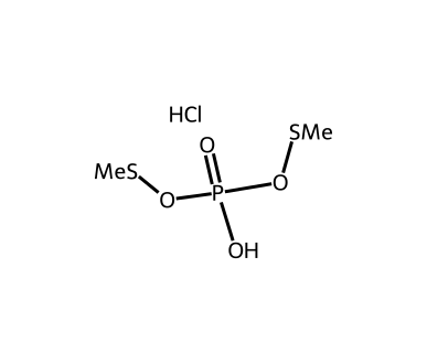 CSOP(=O)(O)OSC.Cl